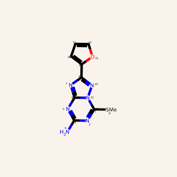 CSc1nc(N)nc2nc(-c3ccco3)nn12